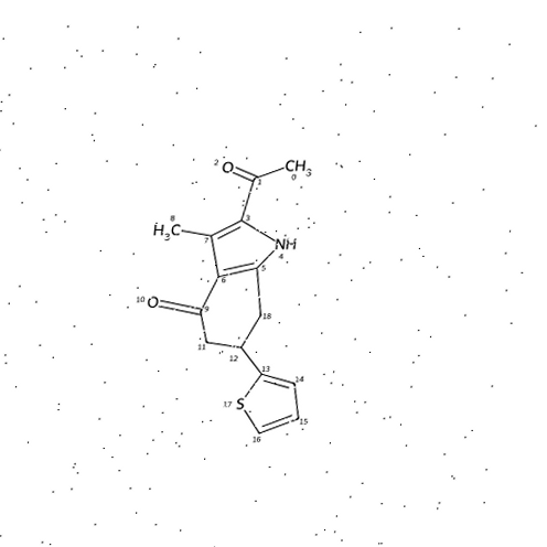 CC(=O)c1[nH]c2c(c1C)C(=O)CC(c1cccs1)C2